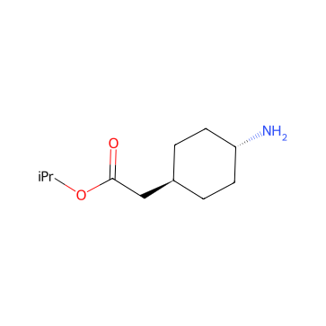 CC(C)OC(=O)C[C@H]1CC[C@H](N)CC1